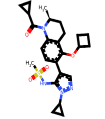 C[C@H]1CCc2c(ccc(-c3cnn(C4CC4)c3NS(C)(=O)=O)c2OC2CCC2)N1C(=O)C1CC1